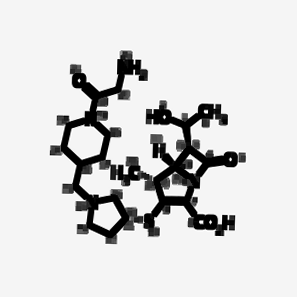 CC(O)[C@H]1C(=O)N2C(C(=O)O)=C(S[C@@H]3CCN(CC4CCN(C(=O)CN)CC4)C3)[C@H](C)[C@H]12